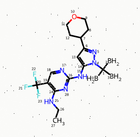 BC(B)(B)n1nc(C2CCOCC2)cc1Nc1ncc(C(F)(F)F)c(NCC)n1